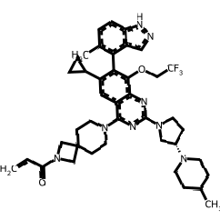 C=CC(=O)N1CC2(CCN(c3nc(N4CC[C@H](N5CCC(C)CC5)C4)nc4c(OCC(F)(F)F)c(-c5c(C)ccc6[nH]ncc56)c(C5CC5)cc34)CC2)C1